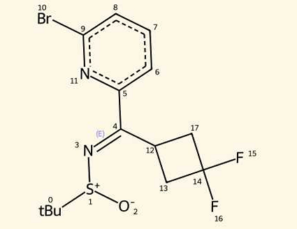 CC(C)(C)[S+]([O-])/N=C(/c1cccc(Br)n1)C1CC(F)(F)C1